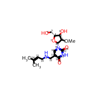 COC1C(O)[C@@H](CO)O[C@H]1n1cc(CNCC=C(C)C)c(=O)[nH]c1=O